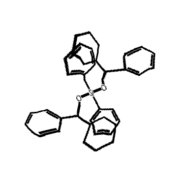 c1ccc(C(O[Si](OC(c2ccccc2)C2CCCCC2)(c2ccccc2)c2ccccc2)C2CCCCC2)cc1